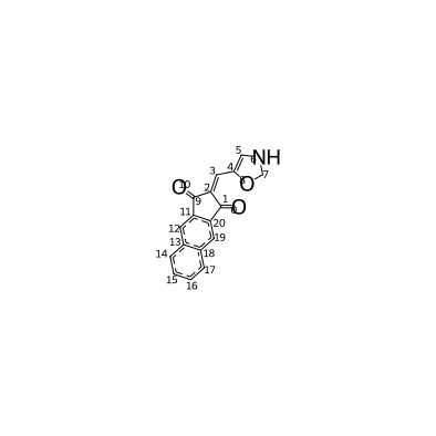 O=C1C(=CC2=CNCO2)C(=O)c2cc3ccccc3cc21